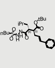 CCCCS(=O)(=O)NNC(=O)[C@H](CC(C)C)[C@H](CC=Cc1ccccc1)C(=O)OC(C)(C)C